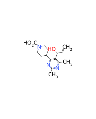 C=CC(O)c1c(C)nc(C)nc1C1CCN(C(=O)O)CC1